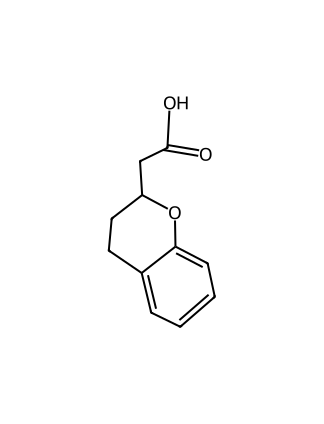 O=C(O)CC1CCc2ccccc2O1